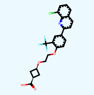 O=C(O)[C@H]1C[C@@H](OCCOc2ccc(-c3ccc4cccc(Cl)c4n3)cc2C(F)(F)F)C1